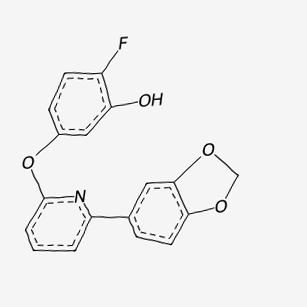 Oc1cc(Oc2cccc(-c3ccc4c(c3)OCO4)n2)ccc1F